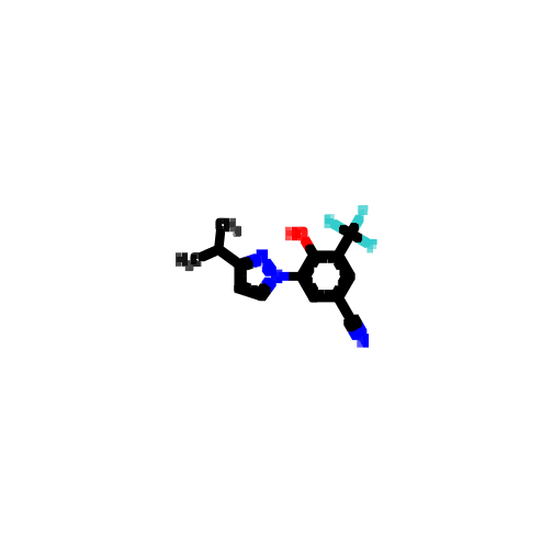 CC(C)c1ccn(-c2cc(C#N)cc(C(F)(F)F)c2O)n1